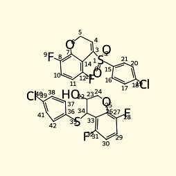 O=S(=O)(C1=CCOc2c(F)ccc(F)c21)c1ccc(Cl)cc1.OC1COc2c(F)ccc(F)c2C1Sc1ccc(Cl)cc1